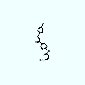 O=C(O)/C=C\C(=O)Nc1ccc(C(=O)/C=C/c2ccc(Cl)cc2)cc1